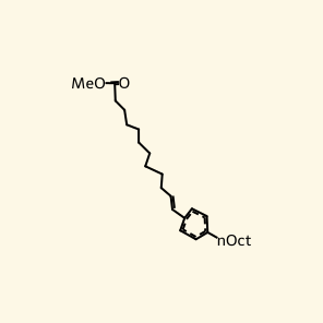 CCCCCCCCc1ccc(/C=C/CCCCCCCCCC(=O)OC)cc1